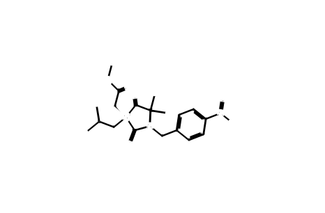 COC(=O)C[N@+]1(CC(C)C)C(=O)N(Cc2ccc([N+](=O)[O-])cc2)C(C)(C)C1=O